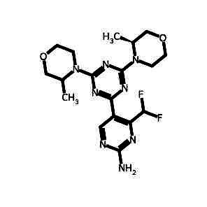 CC1COCCN1c1nc(-c2cnc(N)nc2C(F)F)nc(N2CCOC[C@@H]2C)n1